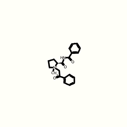 C[N+]1(CC(=O)c2ccccc2)CCC[C@H]1C(=O)NC(=O)c1ccccc1